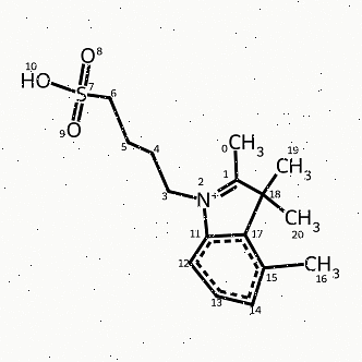 CC1=[N+](CCCCS(=O)(=O)O)c2cccc(C)c2C1(C)C